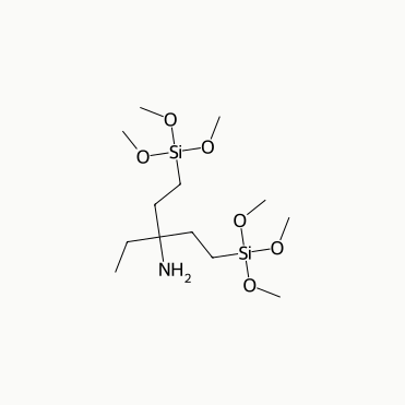 CCC(N)(CC[Si](OC)(OC)OC)CC[Si](OC)(OC)OC